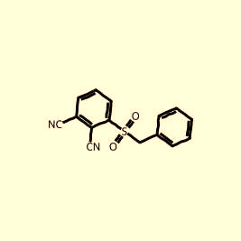 N#Cc1cccc(S(=O)(=O)Cc2ccccc2)c1C#N